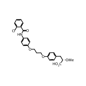 CO[C@@H](Cc1ccc(OCCCOc2ccc(NC(=O)c3ccccc3Cl)cc2)cc1)C(=O)O